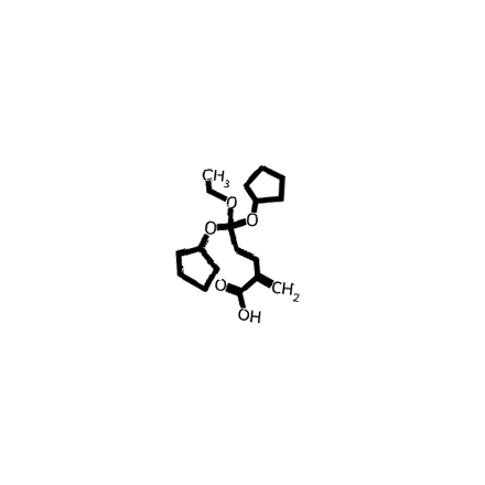 C=C(CCC(OCC)(OC1CCCC1)OC1CCCC1)C(=O)O